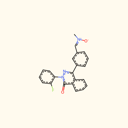 C/[N+]([O-])=C/c1cccc(-c2nn(-c3ccccc3F)c(=O)c3ccccc23)c1